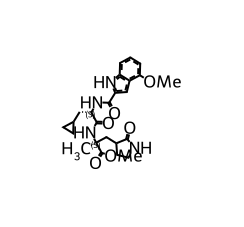 COC(=O)[C@](C)(CC1CCNC1=O)NC(=O)[C@H](CC1CC1)NC(=O)c1cc2c(OC)cccc2[nH]1